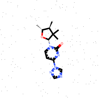 C[C@@H]1[C@@H](C)O[C@@H](n2ccc(-n3cncn3)nc2=O)C1(C)C